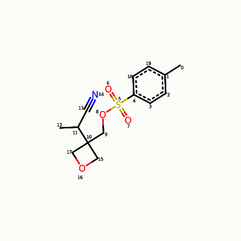 Cc1ccc(S(=O)(=O)OCC2(C(C)C#N)COC2)cc1